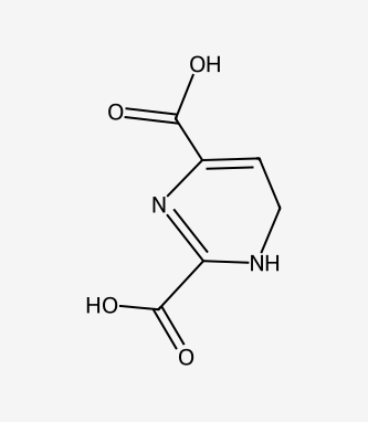 O=C(O)C1=CCNC(C(=O)O)=N1